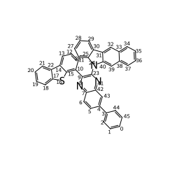 c1ccc(-c2ccc3nc(-c4cccc5c4sc4ccccc45)c(-n4c5ccccc5c5cc6ccccc6cc54)nc3c2)cc1